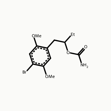 CCC(Cc1cc(OC)c(Br)cc1OC)OC(N)=O